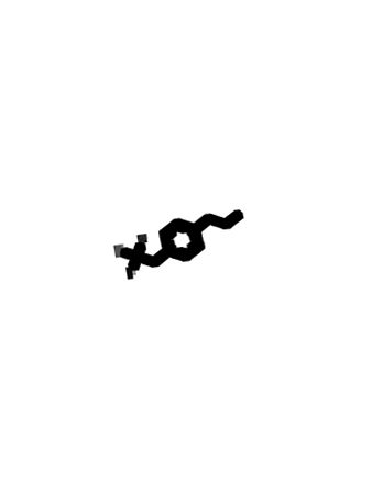 CCCc1ccc(CC(F)(F)F)cc1